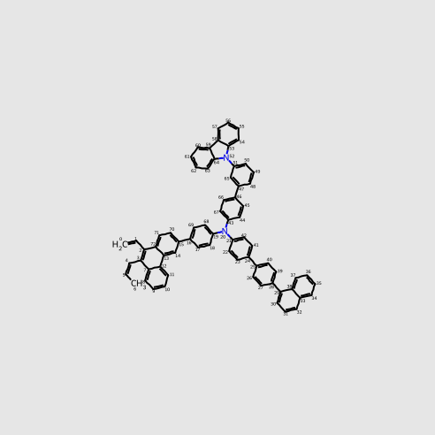 C=Cc1c(/C=C\C)c2ccccc2c2cc(-c3ccc(N(c4ccc(-c5ccc(-c6cccc7ccccc67)cc5)cc4)c4ccc(-c5cccc(-n6c7ccccc7c7ccccc76)c5)cc4)cc3)ccc12